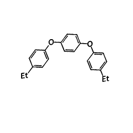 CCc1ccc(Oc2ccc(Oc3ccc(CC)cc3)cc2)cc1